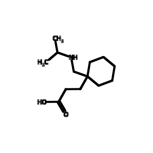 CC(C)NCC1(CCC(=O)O)CCCCC1